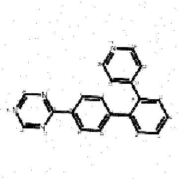 c1ccc(-c2ccc(-c3ncncn3)cc2)c(-c2ccncc2)c1